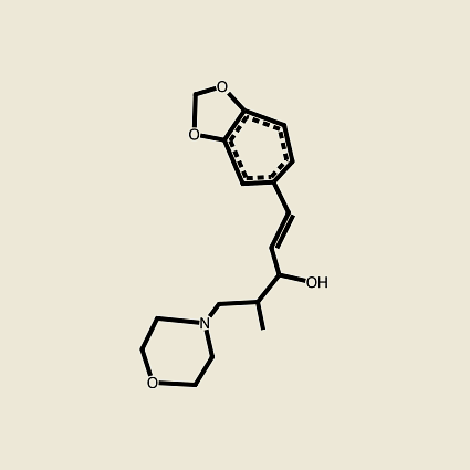 CC(CN1CCOCC1)C(O)C=Cc1ccc2c(c1)OCO2